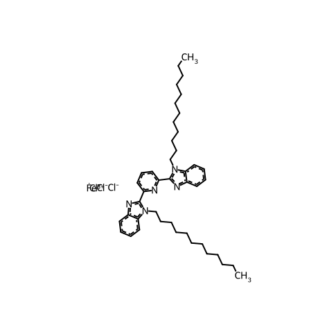 CCCCCCCCCCCCn1c(-c2cccc(-c3nc4ccccc4n3CCCCCCCCCCCC)n2)nc2ccccc21.[Cl-].[Cl-].[Cl-].[Fe+3]